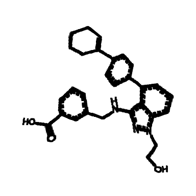 O=C(O)c1cccc(CNc2nn(CCO)c3cccc(-c4ccc(C5=CCCCC5)cc4)c23)c1